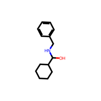 OC(NCc1ccccc1)C1CCCCC1